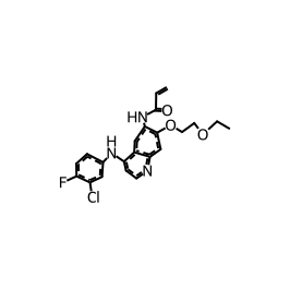 C=CC(=O)Nc1cc2c(Nc3ccc(F)c(Cl)c3)ccnc2cc1OCCOCC